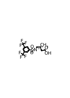 C[N+](C=NS(=O)(=O)c1cc(C(F)(F)F)cc(C(F)(F)F)c1)=CC(=O)O